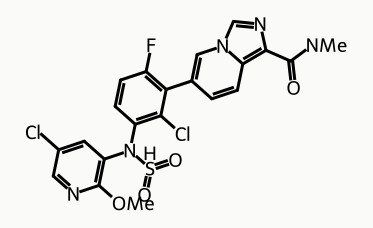 CNC(=O)c1ncn2cc(-c3c(F)ccc(N(c4cc(Cl)cnc4OC)[SH](=O)=O)c3Cl)ccc12